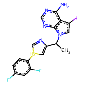 CC(C1=C[SH](c2ccc(F)cc2F)C=N1)n1cc(I)c2c(N)ncnc21